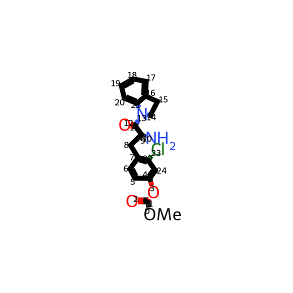 COC(=O)Oc1ccc(C[C@H](N)C(=O)N2CCc3ccccc32)c(Cl)c1